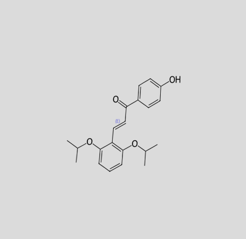 CC(C)Oc1cccc(OC(C)C)c1/C=C/C(=O)c1ccc(O)cc1